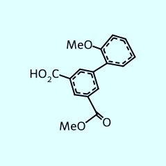 COC(=O)c1cc(C(=O)O)cc(-c2ccccc2OC)c1